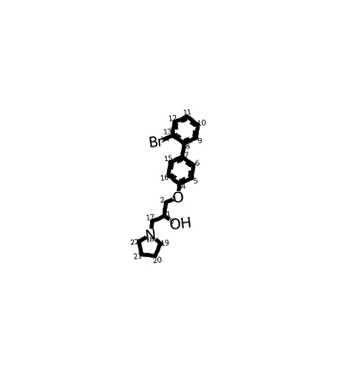 OC(COc1ccc(-c2ccccc2Br)cc1)CN1CCCC1